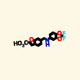 O=C(O)c1cc2ccc(CNc3ccc4c(c3)OC(F)(F)O4)cc2o1